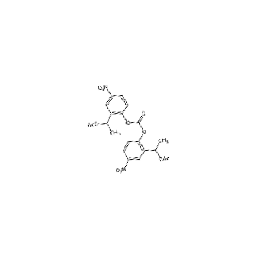 CC(=O)OC(C)c1cc([N+](=O)[O-])ccc1OC(=O)Oc1ccc([N+](=O)[O-])cc1C(C)OC(C)=O